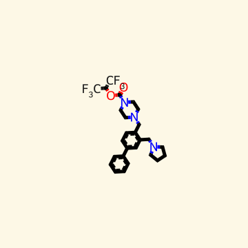 O=C(OC(C(F)(F)F)C(F)(F)F)N1CCN(Cc2ccc(-c3ccccc3)cc2CN2CCCC2)CC1